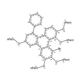 CCCCCOc1cc(-c2ccccc2)c2c(c1)c1cc(OCCCCC)c(OCCCCC)c(Br)c1c1c(OCCCCC)c(OCCCCC)ccc21